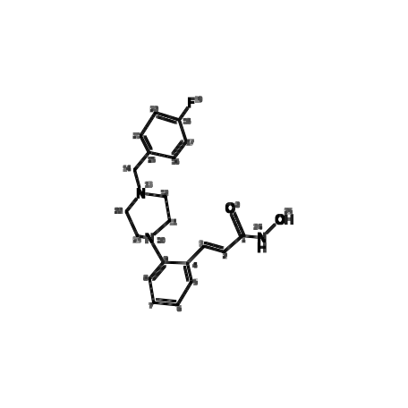 O=C(C=Cc1ccccc1N1CCN(Cc2ccc(F)cc2)CC1)NO